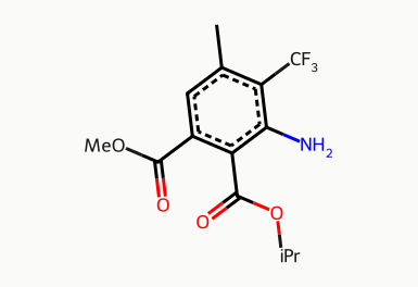 COC(=O)c1cc(C)c(C(F)(F)F)c(N)c1C(=O)OC(C)C